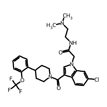 CN(C)CCNC(=O)Cn1cc(C(=O)N2CCC(c3ccccc3OC(F)(F)F)CC2)c2ccc(Cl)cc21